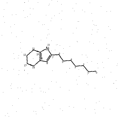 CCCCCCCC1=CC2=C(CCCC2)[N]1